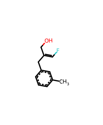 Cc1cccc(CC(=CF)CO)c1